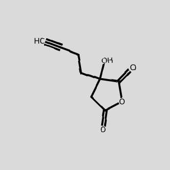 C#CCCC1(O)CC(=O)OC1=O